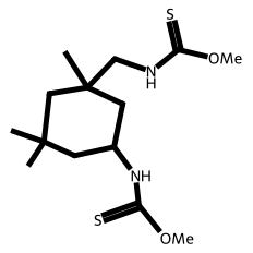 COC(=S)NCC1(C)CC(NC(=S)OC)CC(C)(C)C1